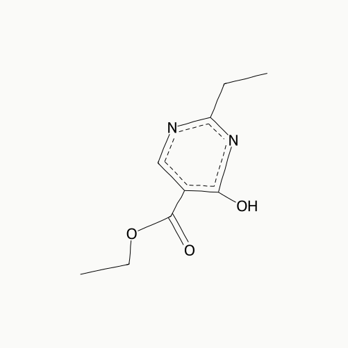 CCOC(=O)c1cnc(CC)nc1O